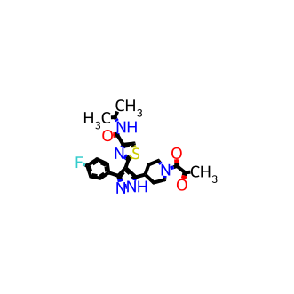 CC(=O)C(=O)N1CCC(c2[nH]nc(-c3ccc(F)cc3)c2-c2nc(C(=O)NC(C)C)cs2)CC1